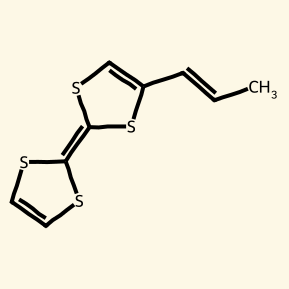 CC=CC1=CSC(=C2SC=CS2)S1